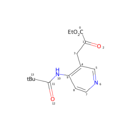 CCOC(=O)C(=O)Cc1cnccc1NC(=O)C(C)(C)C